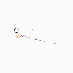 CCCCCCCCCCCCCCCCCCCCCCOS(=O)(=O)c1ccccc1.[Ba]